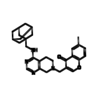 Cc1ccc2occ(CN3CCc4c(ncnc4NCC45CC6CC(CC(C6)C4)C5)C3)c(=O)c2c1